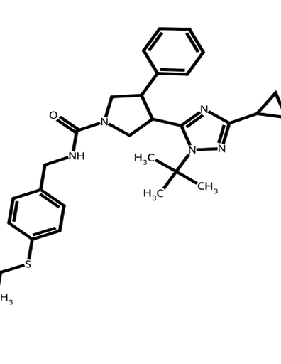 CCSc1ccc(CNC(=O)N2CC(c3ccccc3)C(c3nc(C4CC4)nn3C(C)(C)C)C2)cc1